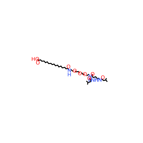 CC(C)CC(=O)NCCCC(NC(=O)CC(C)C)C(=O)NCCOCCOCCOCCNC(=O)CCCCCCCCCCCCCCCCC(=O)O